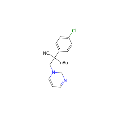 CCCCC(C#N)(CN1C=CC=NC1)c1ccc(Cl)cc1